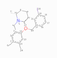 Cc1cc(CN2CCCC[C@H]2C)c(OCc2cccc(I)c2)cc1C